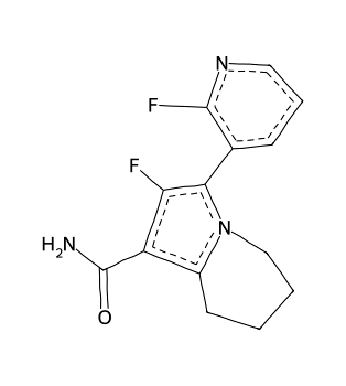 NC(=O)c1c(F)c(-c2cccnc2F)n2c1CCCC2